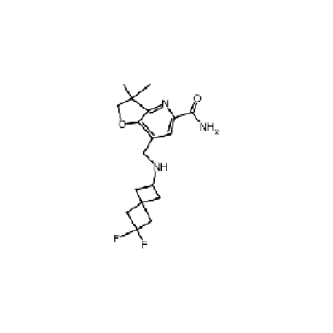 CC1(C)COc2c(CNC3CC4(C3)CC(F)(F)C4)cc(C(N)=O)nc21